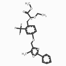 CCO[C@@H](Cc1ccc(OCc2nc(-c3ccccc3)oc2C)cc1C(F)(F)F)C(=O)OC